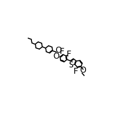 CCCC1CCC(C2CC=C(C(=O)Oc3ccc(-c4cc5ccc(OCC)c(F)c5s4)c(F)c3F)CC2)CC1